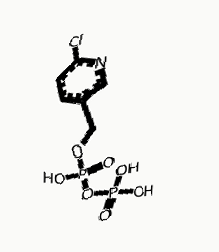 O=P(O)(O)OP(=O)(O)OCc1ccc(Cl)nc1